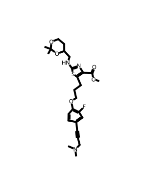 COC(=O)c1nc(NCC2CCOC(C)(C)O2)sc1CCCOc1ccc(C#CCN(C)C)cc1F